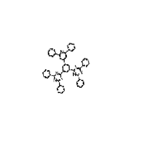 c1ccc(-c2cc(-c3cc(-c4nc(-c5ccccc5)nc(-c5ccccc5)n4)cc(-c4nc(-c5ccccc5)nc(-c5ccccc5)n4)c3)cc(-c3ccccc3)n2)cc1